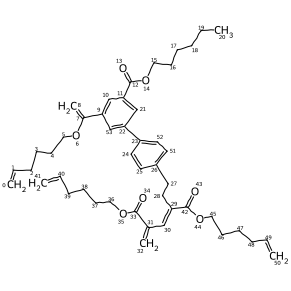 C=CCCCCOC(=C)c1cc(C(=O)OCCCCCC)cc(-c2ccc(CC/C(=C\C(=C)C(=O)OCCCCC=C)C(=O)OCCCCC=C)cc2)c1